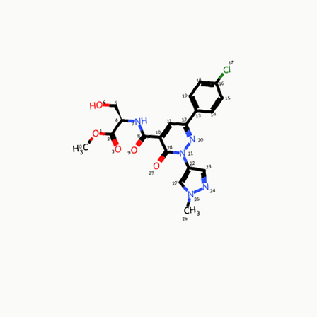 COC(=O)[C@@H](CO)NC(=O)c1cc(-c2ccc(Cl)cc2)nn(-c2cnn(C)c2)c1=O